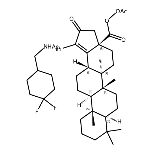 CC(=O)NCC1CCC(F)(F)CC1.CC(=O)OOC(=O)[C@@]12CC[C@]3(C)[C@H](CC[C@@H]4[C@@]5(C)CCCC(C)(C)[C@@H]5CC[C@]43C)C1=C(C(C)C)C(=O)C2